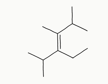 CCC(=C(C)C(C)C)C(C)C